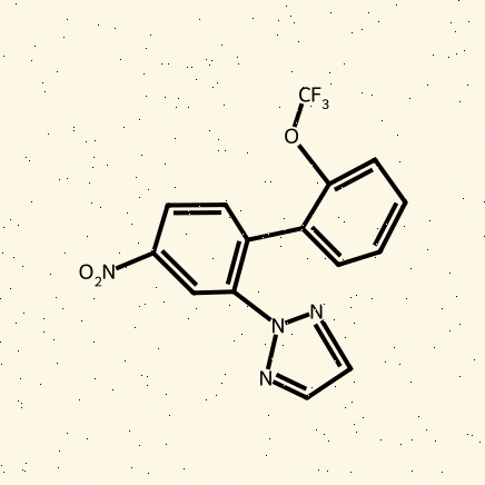 O=[N+]([O-])c1ccc(-c2ccccc2OC(F)(F)F)c(-n2nccn2)c1